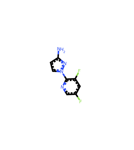 Nc1ccn(-c2ncc(F)cc2F)n1